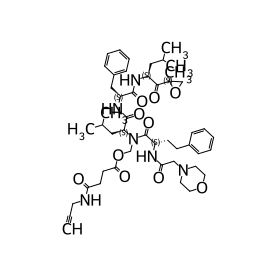 C#CCNC(=O)CCC(=O)OCN(C(=O)[C@H](CCc1ccccc1)NC(=O)CN1CCOCC1)[C@@H](CC(C)C)C(=O)N[C@@H](Cc1ccccc1)C(=O)N[C@@H](CC(C)C)C(=O)[C@]1(C)CO1